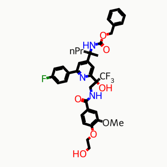 CCCC(C)(NC(=O)OCc1ccccc1)c1cc(-c2ccc(F)cc2)nc(C(O)(CNC(=O)c2ccc(OCCO)c(OC)c2)C(F)(F)F)c1